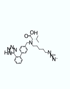 CC(C)[C@@H](C(=O)O)N(CCCCCN=[N+]=[N-])Cc1ccc(-c2ccccc2-c2nnn[nH]2)cc1